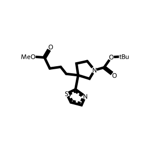 COC(=O)CCCC1(c2nccs2)CCN(C(=O)OC(C)(C)C)C1